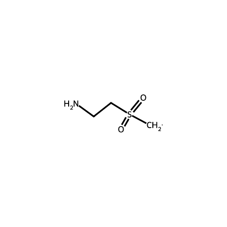 [CH2]S(=O)(=O)CCN